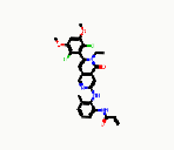 C=CC(=O)Nc1cccc(C)c1Nc1cc2c(=O)n(CC)c(-c3c(Cl)c(OC)cc(OC)c3Cl)cc2cn1